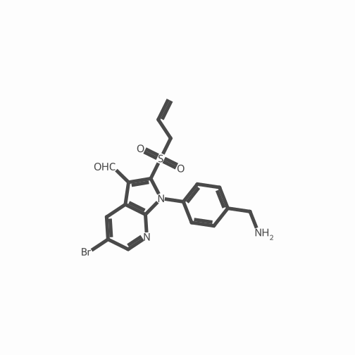 C=CCS(=O)(=O)c1c(C=O)c2cc(Br)cnc2n1-c1ccc(CN)cc1